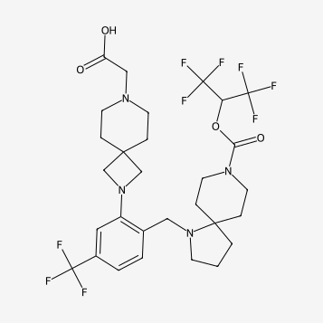 O=C(O)CN1CCC2(CC1)CN(c1cc(C(F)(F)F)ccc1CN1CCCC13CCN(C(=O)OC(C(F)(F)F)C(F)(F)F)CC3)C2